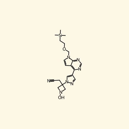 C[Si](C)(C)CCOCn1ccc2c(-c3cnn(C4(CC#N)CN(O)C4)c3)ncnc21